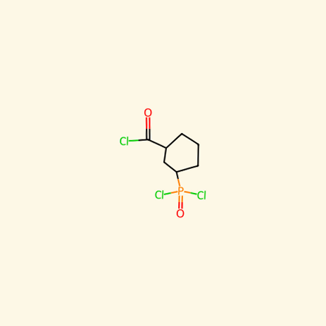 O=C(Cl)C1CCCC(P(=O)(Cl)Cl)C1